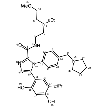 CCN(CCNC(=O)c1nnc(-c2cc(C(C)C)c(O)cc2O)n1-c1ccc(CN2CCCC2)cc1)CCOC